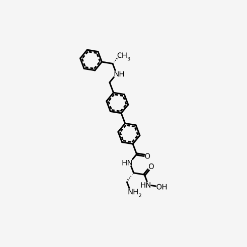 C[C@H](NCc1ccc(-c2ccc(C(=O)N[C@@H](CN)C(=O)NO)cc2)cc1)c1ccccc1